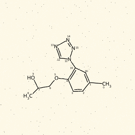 Cc1ccc(OCC(C)O)c(-n2cnnn2)c1